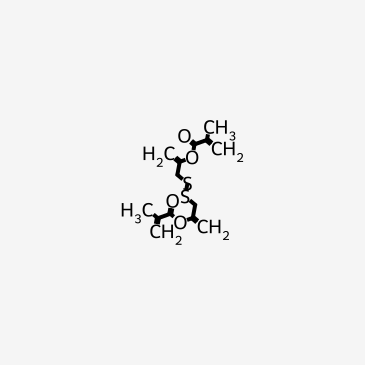 C=C(CSSCC(=C)OC(=O)C(=C)C)OC(=O)C(=C)C